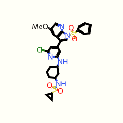 COc1cnc2c(c1)c(-c1cc(Cl)nc(NC3CCCC(NS(=O)(=O)C4CC4)C3)c1)cn2S(=O)(=O)c1ccccc1